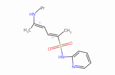 C/C(=C\C=C(/C)S(=O)(=O)Nc1ccccn1)NC(C)C